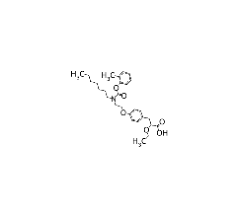 CCCCCCCN(CCOc1ccc(CC(OCC)C(=O)O)cc1)C(=O)Oc1ccccc1C